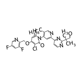 Cc1cnc(-c2ccnc(C(C)(C)C=O)n2)cc1-n1c(C)cc(OCc2ncc(F)cc2F)c(Cl)c1=O